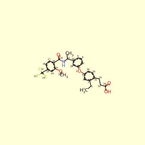 CCc1cc(Oc2cccc(C(C)NC(=O)c3ccc(C(F)(F)F)cc3OC)c2)ccc1CCC(=O)O